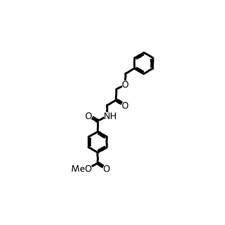 COC(=O)c1ccc(C(=O)NCC(=O)COCc2ccccc2)cc1